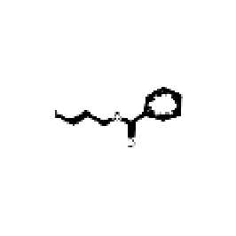 O=C(OCC=CI)c1ccccc1